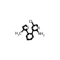 Cc1ccsc1-c1ccccc1-c1cc(Cl)cnc1N